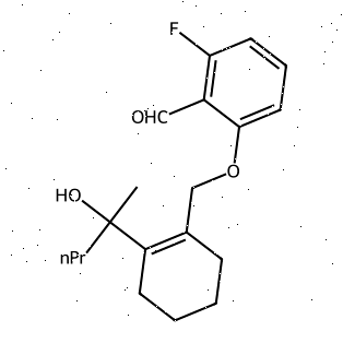 CCCC(C)(O)C1=C(COc2cccc(F)c2C=O)CCCC1